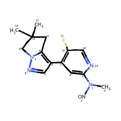 CN(N=O)c1cc(-c2cnn3c2CC(C)(C)C3)c(F)cn1